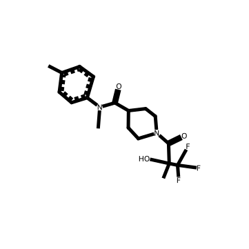 Cc1ccc(N(C)C(=O)C2CCN(C(=O)C(C)(O)C(F)(F)F)CC2)cc1